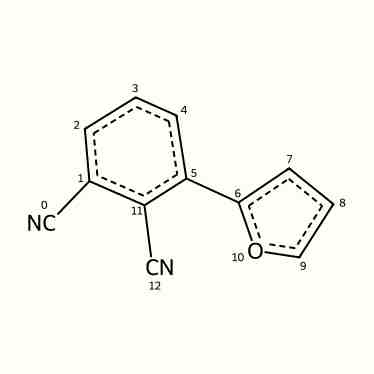 N#Cc1cccc(-c2ccco2)c1C#N